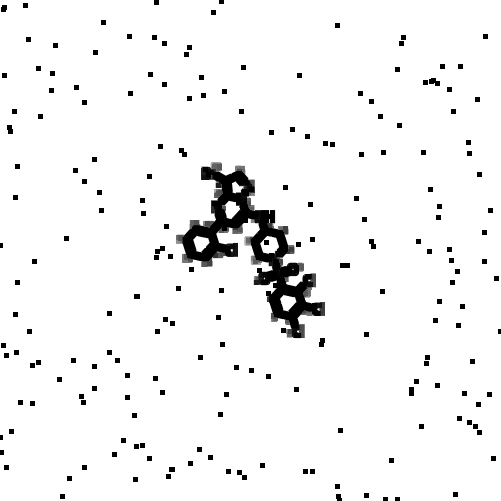 O=S(=O)(c1ccc(Cl)c(Cl)c1Cl)N1CCC(Nc2cc(-c3ccccc3Cl)nc3c(Br)cnn23)CC1